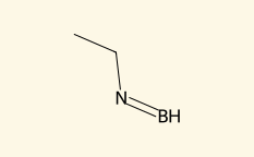 B=NCC